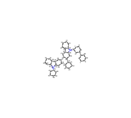 c1ccc(-c2cccc(-n3c4ccccc4c4ccc(-c5ccccc5-c5ccc6c7ccccc7n(-c7ccccc7)c6c5)cc43)c2)cc1